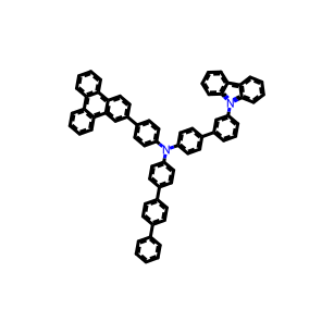 c1ccc(-c2ccc(-c3ccc(N(c4ccc(-c5cccc(-n6c7ccccc7c7ccccc76)c5)cc4)c4ccc(-c5ccc6c7ccccc7c7ccccc7c6c5)cc4)cc3)cc2)cc1